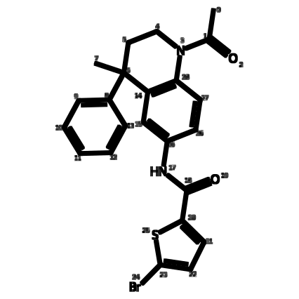 CC(=O)N1CCC(C)(c2ccccc2)c2cc(NC(=O)c3ccc(Br)s3)ccc21